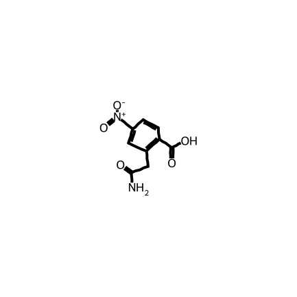 NC(=O)Cc1cc([N+](=O)[O-])ccc1C(=O)O